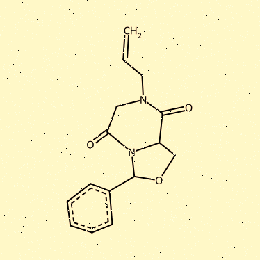 C=CCN1CC(=O)N2C(COC2c2ccccc2)C1=O